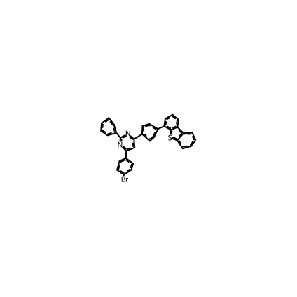 Brc1ccc(-c2cc(-c3ccc(-c4cccc5c4sc4ccccc45)cc3)nc(-c3ccccc3)n2)cc1